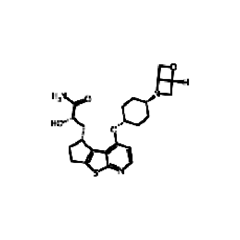 NC(=O)[C@@H](O)C[C@H]1CCc2sc3nccc(O[C@H]4CC[C@H](N5C[C@H]6OCC65)CC4)c3c21